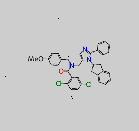 COc1ccc(CN(Cc2cnc(-c3ccccc3)n2C2Cc3ccccc3C2)C(=O)c2cc(Cl)ccc2Cl)cc1